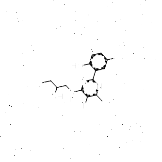 CCC(N)CNc1nc(-c2cc(Cl)ccc2O)nc(C)c1F